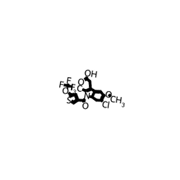 COC1=C(Cl)CC2C(=C1)C(CC(=O)O)=C(C)N2C(=O)c1csc(OC(F)(F)F)c1